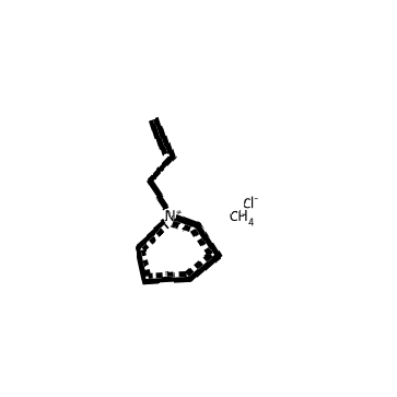 C.C=CC[n+]1ccccc1.[Cl-]